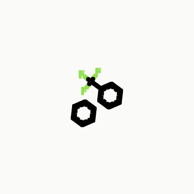 FC(F)(F)c1ccccc1.c1ccccc1